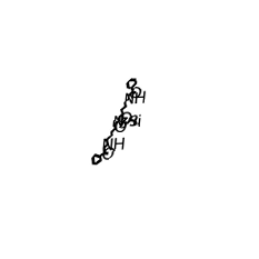 C[Si](C)(C)CCS(=O)(=O)N(CCCCCNCC(=O)c1ccccc1)CCCCCNCC(=O)c1ccccc1